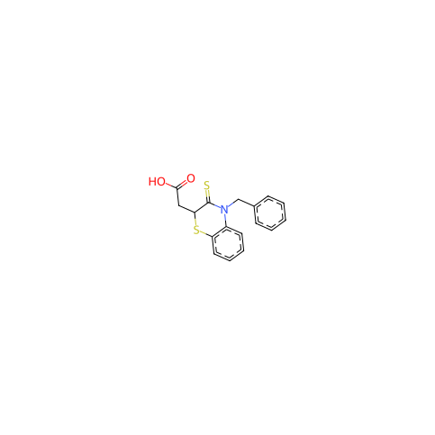 O=C(O)CC1Sc2ccccc2N(Cc2ccccc2)C1=S